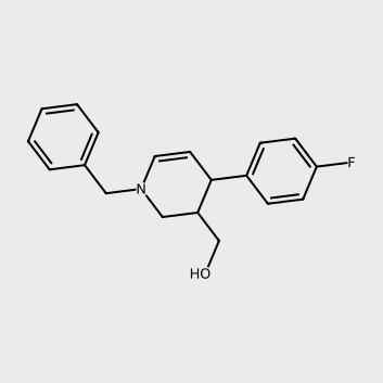 OCC1CN(Cc2ccccc2)C=CC1c1ccc(F)cc1